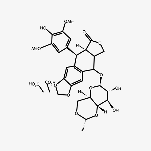 CC(=O)O.CC(=O)O.COc1cc([C@@H]2c3cc4c(cc3C(O[C@@H]3O[C@@H]5CO[C@@H](C)O[C@H]5[C@H](O)[C@H]3O)C3COC(=O)[C@@H]32)OCO4)cc(OC)c1O